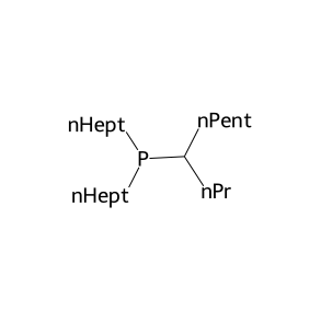 CCCCCCCP(CCCCCCC)C(CCC)CCCCC